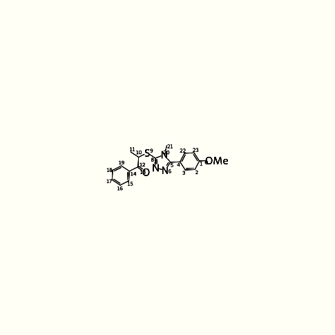 COc1ccc(-c2nnc(SC(C)C(=O)c3ccccc3)n2C)cc1